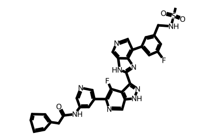 CS(=O)(=O)NCc1cc(F)cc(-c2cncc3[nH]c(-c4n[nH]c5cnc(-c6cncc(NC(=O)Cc7ccccc7)c6)c(F)c45)nc23)c1